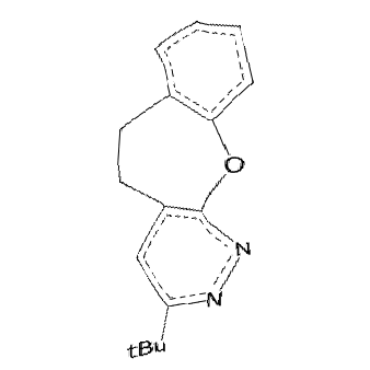 CC(C)(C)c1cc2c(nn1)Oc1ccccc1CC2